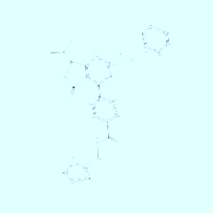 CC(C)C1NC(=O)c2c(-c3ccc(C(=O)NCc4ccco4)cc3)cc(CCc3ccccc3)nc21